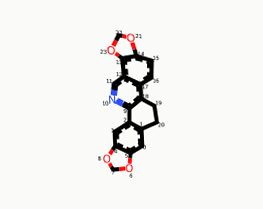 c1c2c(cc3c1OCO3)-c1ncc3c4c(ccc3c1CC2)OCO4